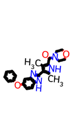 Cc1[nH]c(C(=O)N2CCOCC2)c(C)c1-c1nc2cc(Oc3ccccc3)ccc2[nH]1